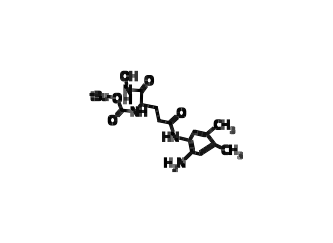 Cc1cc(N)c(NC(=O)CCC(NC(=O)OC(C)(C)C)C(=O)NO)cc1C